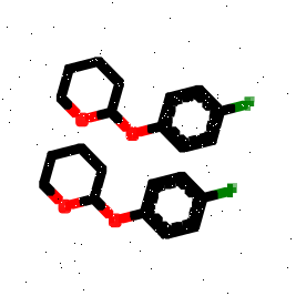 Fc1ccc(OC2CCCCO2)cc1.Fc1ccc(OC2CCCCO2)cc1